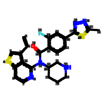 C=Cc1csc2ccnc(N(C(=O)c3ccc(-c4nnc(C)s4)cc3F)[C@@H]3CCCNC3)c12